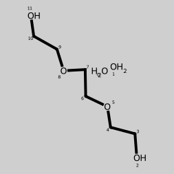 O.O.OCCOCCOCCO